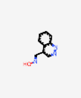 ON=Cc1cnnc2ccccc12